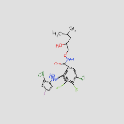 CC(C)CC(O)CONC(=O)c1cc(Cl)c(F)c(F)c1Nc1ccc(I)cc1Cl